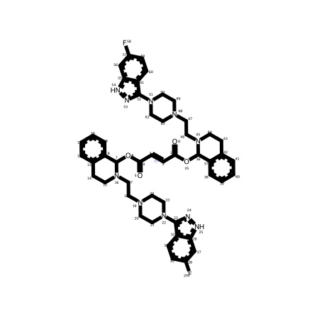 O=C(/C=C/C(=O)OC1c2ccccc2CCN1CCN1CCN(c2n[nH]c3cc(F)ccc23)CC1)OC1c2ccccc2CCN1CCN1CCN(c2n[nH]c3cc(F)ccc23)CC1